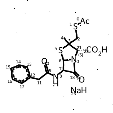 CC(=O)SCC1(C)SC2C(NC(=O)Cc3ccccc3)C(=O)N2[C@H]1C(=O)O.[NaH]